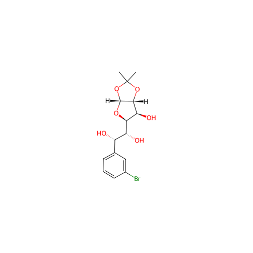 CC1(C)O[C@H]2O[C@H]([C@H](O)[C@@H](O)c3cccc(Br)c3)[C@H](O)[C@H]2O1